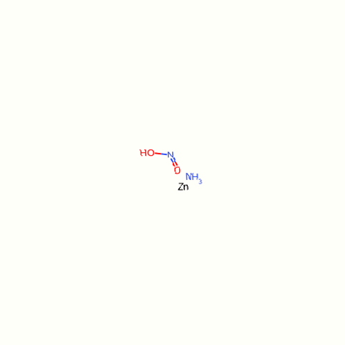 N.O=NO.[Zn]